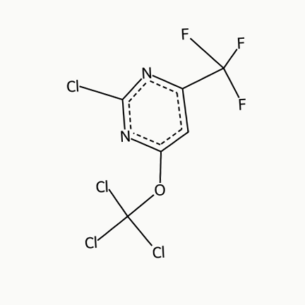 FC(F)(F)c1cc(OC(Cl)(Cl)Cl)nc(Cl)n1